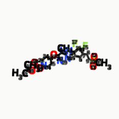 Cc1c(Nc2ccc(CCS(C)(=O)=O)c(F)c2F)ncnc1OC1CCN(OC(=O)OC(C)C)CC1